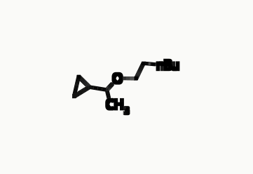 [CH2]CCCCCOC(C)C1CC1